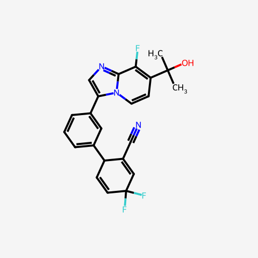 CC(C)(O)c1ccn2c(-c3cccc(C4C=CC(F)(F)C=C4C#N)c3)cnc2c1F